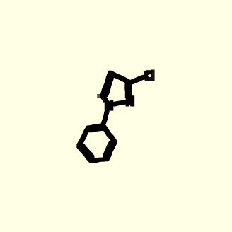 Clc1c[c]n(-c2ccccc2)n1